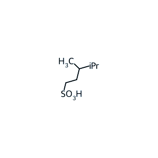 CC(C)C(C)CCS(=O)(=O)O